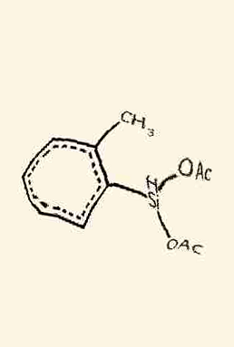 CC(=O)O[SiH](OC(C)=O)c1ccccc1C